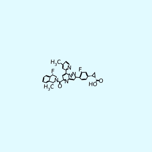 Cc1ccnc(-c2cc(C(=O)N3C[C@@H](F)c4ccccc4[C@H]3C)nc3cc(-c4ccc([C@H]5C[C@@H]5C(=O)O)cc4F)nn23)c1